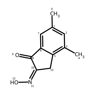 Cc1cc(C)c2c(c1)C(=O)C(=NO)C2